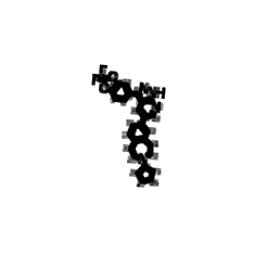 FC1(F)Oc2ccc(-c3n[nH]c4ncc(-c5ccc6c(c5)CCN(C5CCCC5)CC6)cc34)cc2O1